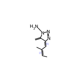 C=c1/c(=C\C(C)=C/C)nnn1N